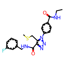 CCNC(=O)c1ccc(-n2nnc(C(=O)NCc3cccc(F)c3)c2CSC)cc1